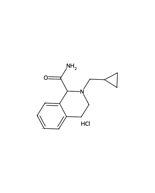 Cl.NC(=O)C1c2cc[c]cc2CCN1CC1CC1